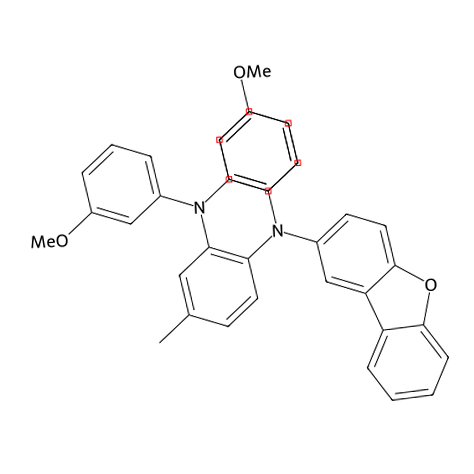 COc1cccc(N(c2cccc(OC)c2)c2cc(C)ccc2N(c2ccccc2)c2ccc3oc4ccccc4c3c2)c1